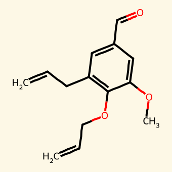 C=CCOc1c(CC=C)cc(C=O)cc1OC